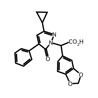 O=C(O)C(c1ccc2c(c1)OCO2)n1nc(C2CC2)cc(-c2ccccc2)c1=O